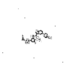 CC(=O)N1CCN(c2ccc3ncc(C(=O)Nc4cc(-c5noc([C@@H]6C[C@H]6F)n5)cc(F)c4C)n3c2)CC1